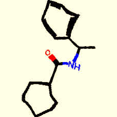 CC(NC(=O)C1CCCCC1)c1ccccc1